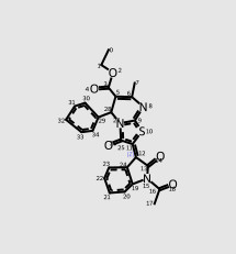 CCOC(=O)C1=C(C)N=c2s/c(=C3\C(=O)N(C(C)=O)c4ccccc43)c(=O)n2C1c1ccccc1